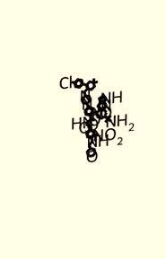 CC1(C)CCC(CN2CCN(c3ccc(C(=O)NS(=O)(=O)c4ccc(NCC5CCOCC5)c([N+](=O)[O-])c4)c(N4CCC(C(C)(C)N)Oc5nc6[nH]ccc6cc54)c3)CC2)=C(c2ccc(Cl)cc2)C1